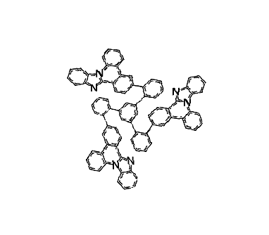 c1ccc(-c2ccc3c(c2)c2ccccc2n2c4ccccc4nc32)c(-c2cc(-c3ccccc3-c3ccc4c(c3)c3ccccc3n3c5ccccc5nc43)cc(-c3ccccc3-c3ccc4c(c3)c3ccccc3n3c5ccccc5nc43)c2)c1